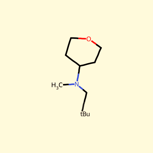 CN(CC(C)(C)C)C1CCOCC1